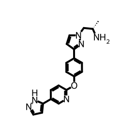 C[C@H](N)Cn1ccc(-c2ccc(Oc3ccc(-c4ccn[nH]4)cn3)cc2)n1